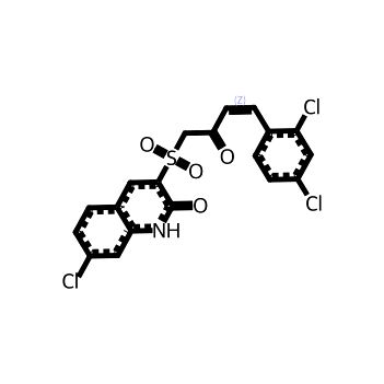 O=C(/C=C\c1ccc(Cl)cc1Cl)CS(=O)(=O)c1cc2ccc(Cl)cc2[nH]c1=O